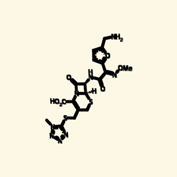 CO/N=C(/C(=O)N[C@@H]1C(=O)N2C(C(=O)O)=C(CSc3nnnn3C)CS[C@H]12)c1ccc(CN)o1